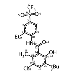 CCc1cc(S(=O)(=O)C(F)(F)F)ccc1NC(=O)c1c(C)c(Cl)cc(C(C)(C)C)c1O